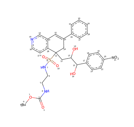 CC(C)(C)OC(=O)NCCNS(=O)(=O)C1(CC(O)C(O)c2ccc([N+](=O)[O-])cc2)CC(c2ccccc2)=Cc2cnccc21